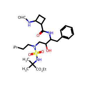 CCOC(=O)C(C)(C)NS(=O)(=O)N(CCC(C)C)CC(O)C(Cc1ccccc1)NC(=O)C1CCC1NC=O